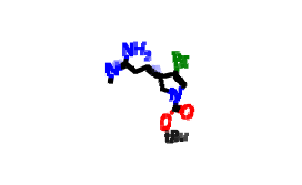 C/N=C(/N)C/C=C1\CN(C(=O)OC(C)(C)C)C=C1Br